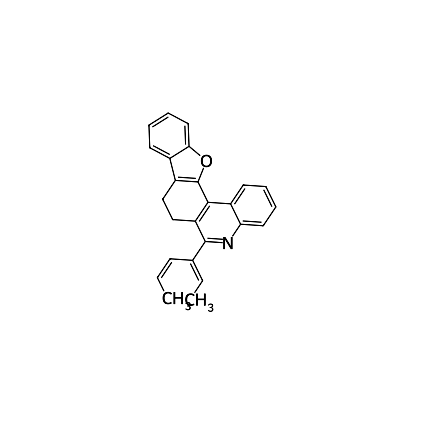 C/C=C\C(=C/C)c1nc2ccccc2c2c1CCc1c-2oc2ccccc12